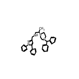 CC(CNCc1cc(-c2ccccc2)n(-c2ccccc2)n1)N1CCN(C(c2ccccc2)c2ccccc2)CC1